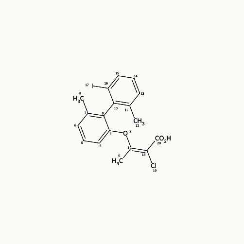 C/C(Oc1cccc(C)c1-c1c(C)cccc1I)=C(\Cl)C(=O)O